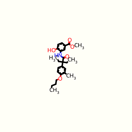 CCCCOc1ccc(C(CC)(CC)C(=O)Nc2cc(C(=O)OC)ccc2O)cc1C